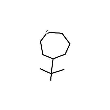 CC(C)(C)C1CCCSCC1